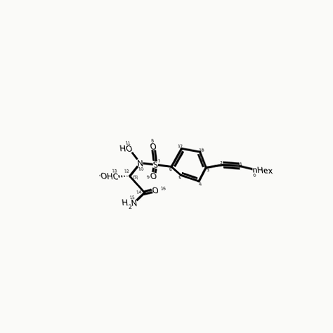 CCCCCCC#Cc1ccc(S(=O)(=O)N(O)[C@@H]([C]=O)C(N)=O)cc1